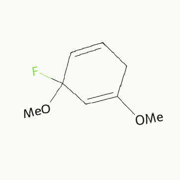 COC1=CC(F)(OC)C=CC1